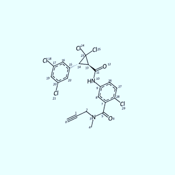 C#CCN(C)C(=O)c1cc(NC(=O)[C@H]2[C@H](c3cc(Cl)cc(Cl)c3)C2(Cl)Cl)ccc1Cl